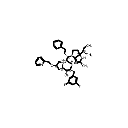 CC[C@@H](C)[C@@]1(NC(C)=O)CCN([C@@H](CCc2ccccc2)C(=O)N[C@@H](Cc2cc(F)cc(F)c2)[C@@H](O)[C@H]2C[C@@H](OCc3ccccn3)CN2)C1=O